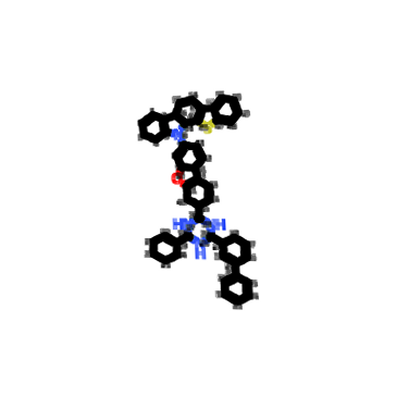 C1=CC2=C(CC1)N(C1=CC3OC4=C(C=CC(C5NC(C6=CCCCC6)NC(C6C=C(c7ccccc7)C=CC6)N5)C4)C3C=C1)C1c3sc4ccccc4c3C=CC21